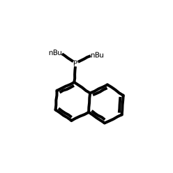 CCCCP(CCCC)c1cccc2ccccc12